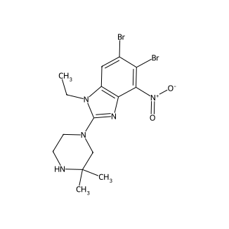 CCn1c(N2CCNC(C)(C)C2)nc2c([N+](=O)[O-])c(Br)c(Br)cc21